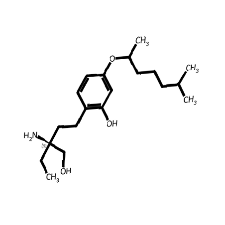 CC[C@@](N)(CO)CCc1ccc(OC(C)CCCC(C)C)cc1O